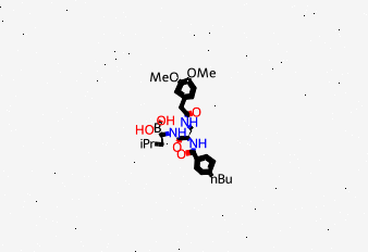 CCCCc1ccc(C(=O)N[C@@H](CNC(=O)Cc2ccc(OC)c(OC)c2)C(=O)N[C@@H](CC(C)C)B(O)O)cc1